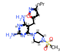 CCCc1cc(Cc2c(N)nc(N)nc2N2CCN(S(C)(=O)=O)CC2)on1